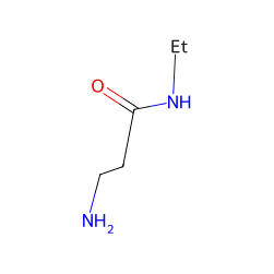 CCNC(=O)CCN